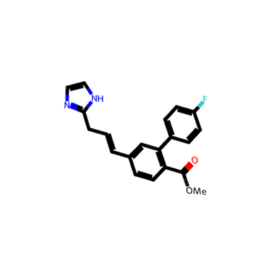 COC(=O)c1ccc(C=CCc2ncc[nH]2)cc1-c1ccc(F)cc1